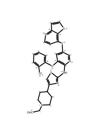 O=CCN1CCC(c2csc(Nc3ncc(Sc4ccnc5ccsc45)cc3Oc3ccccc3C(F)(F)F)n2)CC1